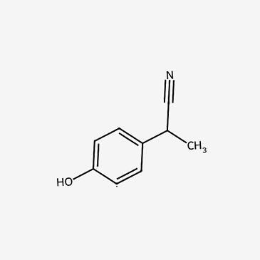 CC(C#N)c1c[c]c(O)cc1